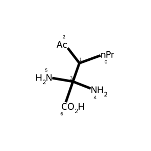 CCCC(C(C)=O)C(N)(N)C(=O)O